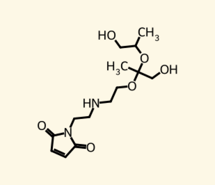 CC(CO)OC(C)(CO)OCCNCCN1C(=O)C=CC1=O